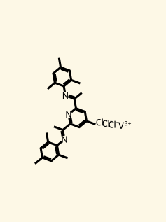 CC(=Nc1c(C)cc(C)cc1C)c1cc(C)cc(C(C)=Nc2c(C)cc(C)cc2C)n1.[Cl-].[Cl-].[Cl-].[V+3]